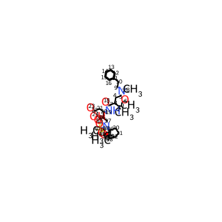 CC(C)C(CC(=O)N(C)CCc1ccccc1)C(=O)NC(CC(=O)O)C(=O)CN(C12CCC(CC1=O)C2(C)C)S(C)(=O)=O